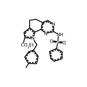 CCOC(=O)c1cc2c(n1Cc1ccc(C)cc1)-c1nc(NS(=O)(=O)c3ccccc3)ncc1CC2